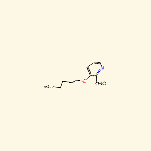 CCCCCCCCCCCCOc1cccnc1C=O